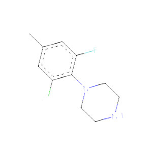 Cc1cc(F)c(N2CCNCC2)c(Cl)c1